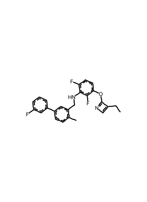 CCC1=CN=C1Oc1ccc(F)c(NCc2cc(-c3cccc(F)c3)ccc2C)c1F